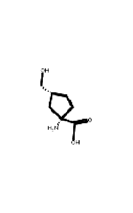 N[C@@]1(C(=O)O)CC[C@@H](CO)C1